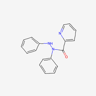 O=C(c1ccccn1)N(Nc1ccccc1)c1ccccc1